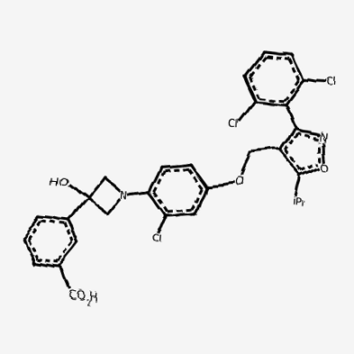 CC(C)c1onc(-c2c(Cl)cccc2Cl)c1COc1ccc(N2CC(O)(c3cccc(C(=O)O)c3)C2)c(Cl)c1